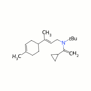 C=C(C1CC1)N(C/C=C(\C)C1CC=C(C)CC1)C(C)(C)C